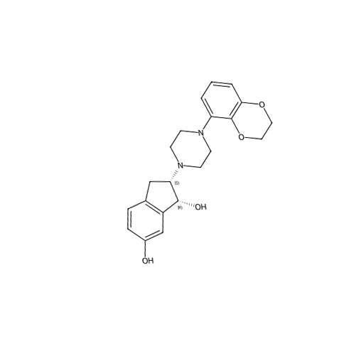 Oc1ccc2c(c1)[C@@H](O)[C@@H](N1CCN(c3cccc4c3OCCO4)CC1)C2